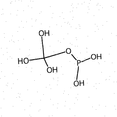 OP(O)OC(O)(O)O